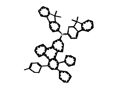 CC1=CC=C(c2cc(-c3ccccc3)c(-c3ccccc3)c3c4ccc(N(C5=CC=C6c7ccccc7C(C)(C)C6C5)c5ccc6c(c5)C(C)(C)c5ccccc5-6)cc4c4ccccc4c23)CC1